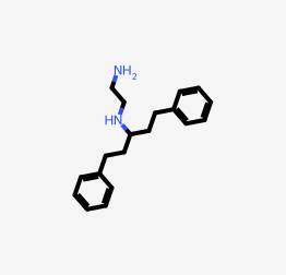 NCCNC(CCc1ccccc1)CCc1ccccc1